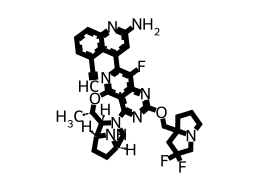 C#Cc1cccc2nc(N)cc(-c3nc4c5c(nc(OCC67CCCN6CC(F)(F)C7)nc5c3F)N3C[C@H]5CC[C@H](N5)[C@H]3[C@H](C)O4)c12